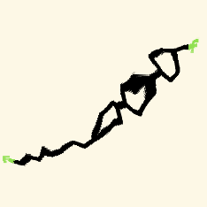 FCCCCCCCC1CCC(C2CCC(C3CCC(CF)CC3)CC2)CC1